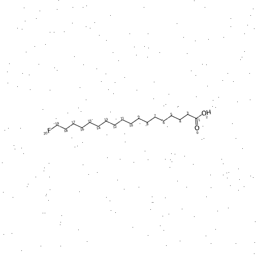 O=C(O)CCCCCCCCCCCCCCCCCF